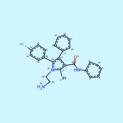 CC(C)c1c(C(=O)Nc2ccccc2)c(-c2ccccc2)c(-c2ccc(F)cc2)n1CCN